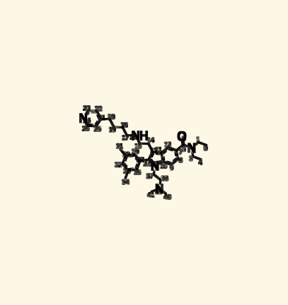 CCN(CC)C(=O)c1ccc2c(c1)c(CCNCCCCc1ccncc1)c(-c1cc(C)cc(C)c1)n2CCN(C)C